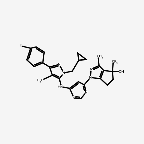 Cc1nn(-c2cc(Nc3c(C)c(-c4ccc(F)cc4)nn3CC3CC3)ncn2)c2c1C(O)(C(F)(F)F)CC2